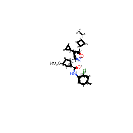 Cc1ccc(NC(=O)[C@H]2C[C@H](C(=O)O)C[C@@H]2c2noc([C@H]3C[C@H](CC(C)C)C3)c2C2CC2)c(Cl)c1